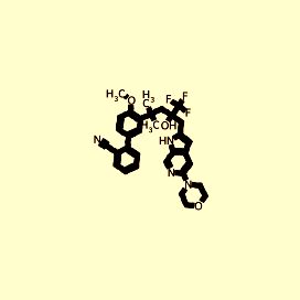 COc1ccc(-c2ccccc2C#N)cc1C(C)(C)CC(O)(Cc1cc2cc(N3CCOCC3)ncc2[nH]1)C(F)(F)F